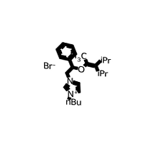 CCCC[n+]1ccn(CC(OC(C)=C(C(C)C)C(C)C)c2ccccc2)c1.[Br-]